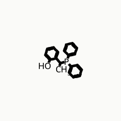 CC(c1ccccc1O)P(c1ccccc1)c1ccccc1